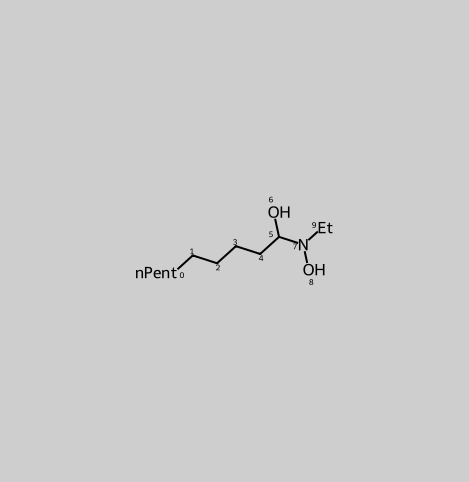 CCCCCCCCCC(O)N(O)CC